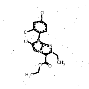 CCOC(=O)c1c(CC)nc2n(-c3ccc(Cl)cc3Cl)c(Cl)cn12